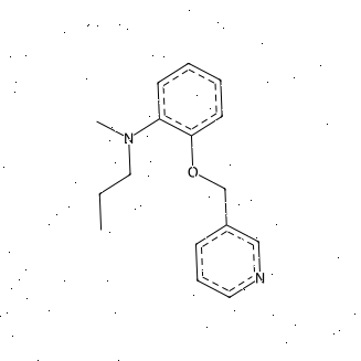 CCCN(C)c1ccccc1OCc1cccnc1